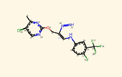 Cc1nc(OC/C(=C/Nc2ccc(F)c(C(F)(F)F)c2)N=N)ncc1Cl